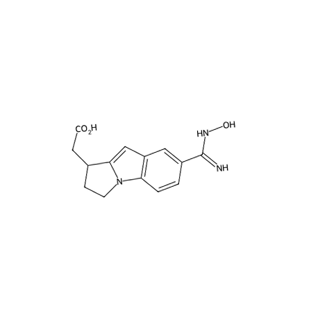 N=C(NO)c1ccc2c(c1)cc1n2CCC1CC(=O)O